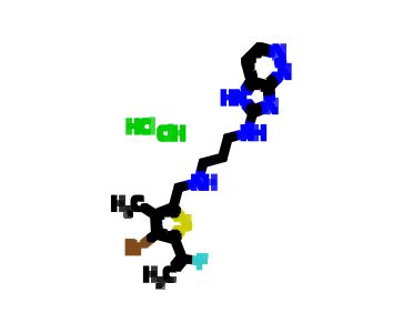 C=C(F)c1sc(CNCCCNc2nc3nnccc3[nH]2)c(C)c1Br.Cl.Cl